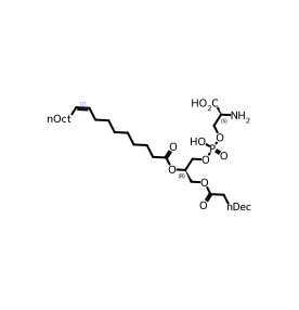 CCCCCCCC/C=C\CCCCCCCC(=O)O[C@H](COC(=O)CCCCCCCCCCC)COP(=O)(O)OC[C@H](N)C(=O)O